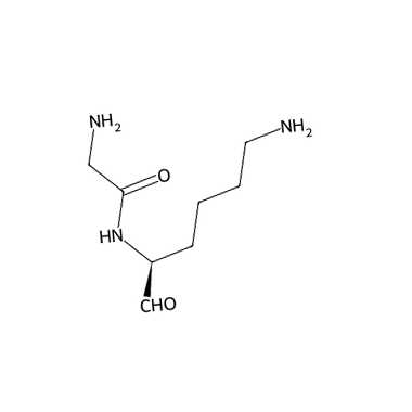 NCCCC[C@@H](C=O)NC(=O)CN